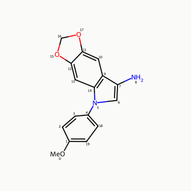 COc1ccc(-n2cc(N)c3cc4c(cc32)OCO4)cc1